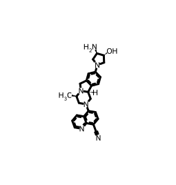 C[C@@H]1CN(c2ccc(C#N)c3ncccc23)C[C@@H]2c3ccc(N4C[C@@H](N)[C@H](O)C4)cc3CN12